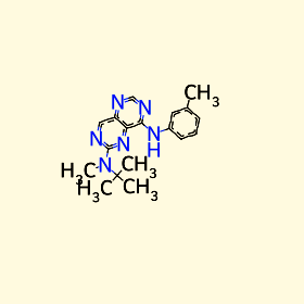 Cc1cccc(Nc2ncnc3cnc(N(C)C(C)(C)C)nc23)c1